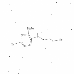 CCOCCNc1ccc(Br)cc1NC